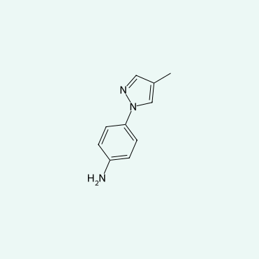 Cc1cnn(-c2ccc(N)cc2)c1